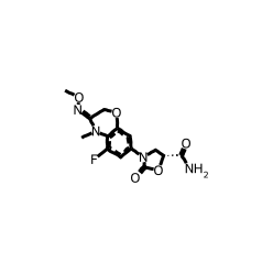 CON=C1COc2cc(N3C[C@H](C(N)=O)OC3=O)cc(F)c2N1C